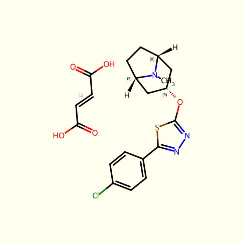 CN1[C@@H]2CC[C@H]1C[C@@H](Oc1nnc(-c3ccc(Cl)cc3)s1)C2.O=C(O)/C=C/C(=O)O